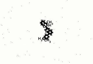 CC(NC(=O)c1cnc2c(C3=CCC(C)(C)CC3)cccc2c1)c1ccccn1